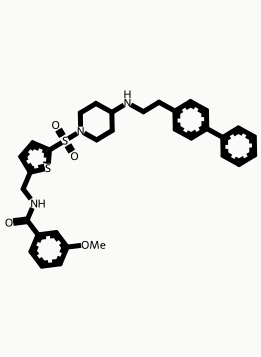 COc1cccc(C(=O)NCc2ccc(S(=O)(=O)N3CCC(NCCc4ccc(-c5ccccc5)cc4)CC3)s2)c1